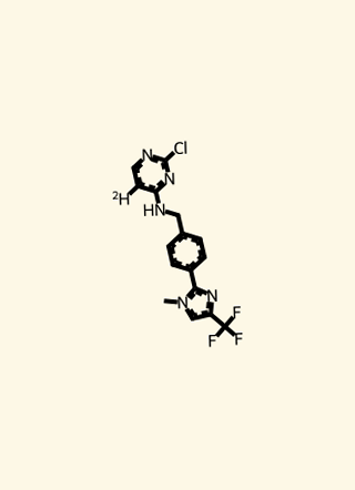 [2H]c1cnc(Cl)nc1NCc1ccc(-c2nc(C(F)(F)F)cn2C)cc1